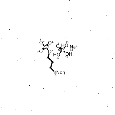 CCCCCCCCCCCCOS(=O)(=O)[O-].O=P(O)(O)O.[Na+]